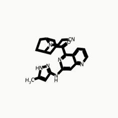 Cc1cc(Nc2cc3ncccc3c(C(=O)C3CC4CCC(C3)N4CCC#N)n2)n[nH]1